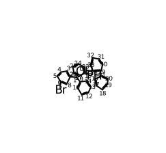 O[C@@H](c1cccc(Br)c1)c1ccccc1[PH](c1ccccc1)(c1ccccc1)c1ccccc1